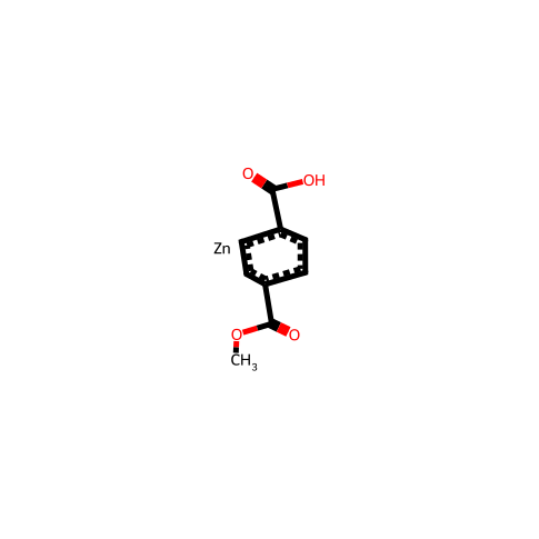 COC(=O)c1ccc(C(=O)O)cc1.[Zn]